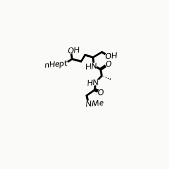 CCCCCCCC(O)CCC(CO)NC(=O)[C@H](C)NC(=O)CNC